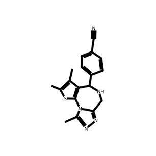 Cc1sc2c(c1C)C(c1ccc(C#N)cc1)NCc1nnc(C)n1-2